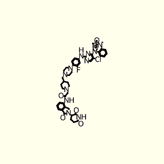 CN(c1ccccc1Nc1nc(Nc2ccc(N3CCN(CC4CCN(CC(=O)Nc5cccc6c5CN(C5CCC(=O)NC5=O)C6=O)CC4)CC3)c(F)c2)ncc1Cl)S(C)(=O)=O